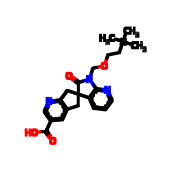 C[Si](C)(C)CCOCN1C(=O)C2(Cc3cc(C(=O)O)cnc3C2)c2cccnc21